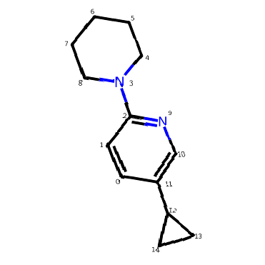 c1cc(N2CCCCC2)ncc1C1CC1